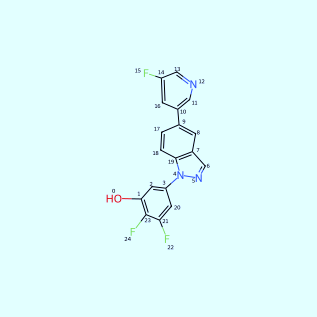 Oc1cc(-n2ncc3cc(-c4cncc(F)c4)ccc32)cc(F)c1F